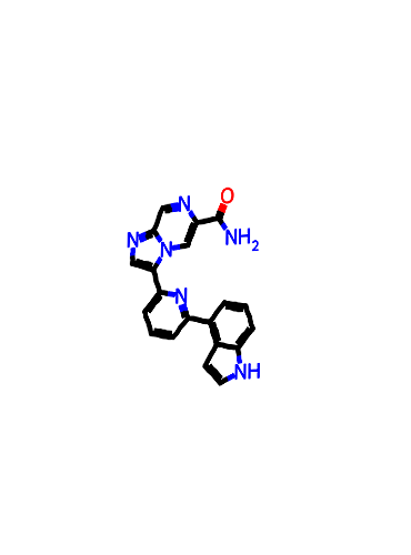 NC(=O)c1cn2c(-c3cccc(-c4cccc5[nH]ccc45)n3)cnc2cn1